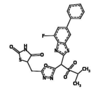 CC(C)S(=O)(=O)C(c1nnc(CC2SC(=O)NC2=O)o1)c1nc2c(F)cc(-c3ccccc3)cc2s1